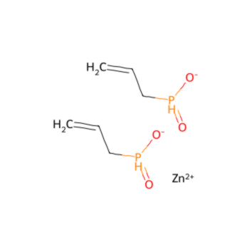 C=CC[PH](=O)[O-].C=CC[PH](=O)[O-].[Zn+2]